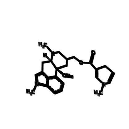 CO[C@]12CC(COC(=O)C3=CN(C)C=CC3)CN(C)[C@@H]1Cc1cn(C)c3cccc2c13